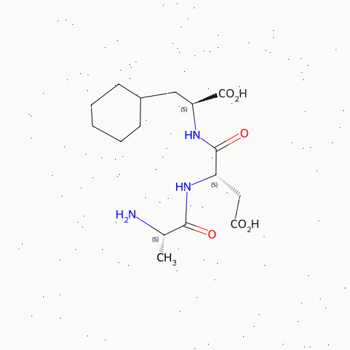 C[C@H](N)C(=O)N[C@@H](CC(=O)O)C(=O)N[C@@H](CC1CCCCC1)C(=O)O